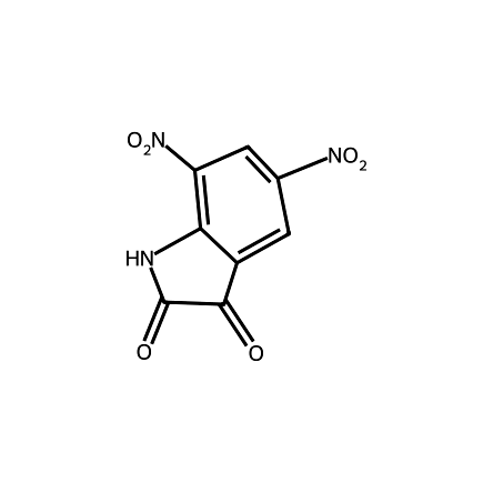 O=C1Nc2c(cc([N+](=O)[O-])cc2[N+](=O)[O-])C1=O